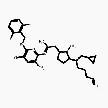 C=CCCCC(CC1CC1)C1CCC(C/C(C)=N/c2nc(NCc3c(F)cccc3F)c(Cl)cc2C)[C@H]1C